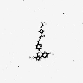 CCO[C@H]1C[C@H](NCOCc2ccc(OCc3c(-c4ccc(C)nc4)noc3C)nn2)C1